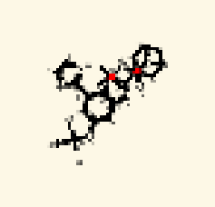 CC(C)(C)OC(=O)N1C2CC1CN(c1nc3cc(OC(F)(F)F)cc(-c4nccs4)c3o1)C2